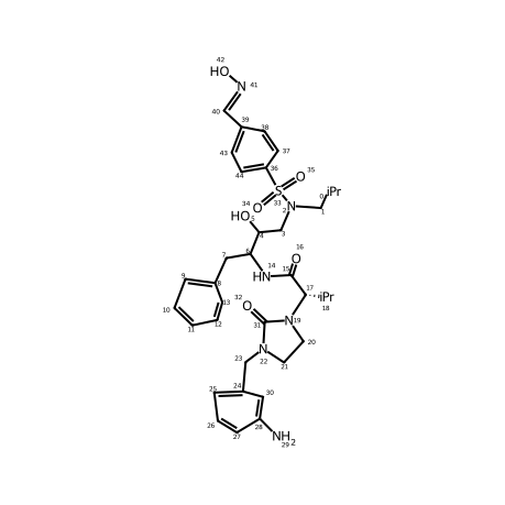 CC(C)CN(CC(O)C(Cc1ccccc1)NC(=O)[C@H](C(C)C)N1CCN(Cc2cccc(N)c2)C1=O)S(=O)(=O)c1ccc(C=NO)cc1